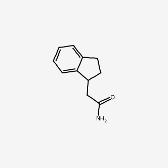 NC(=O)CC1CCc2ccccc21